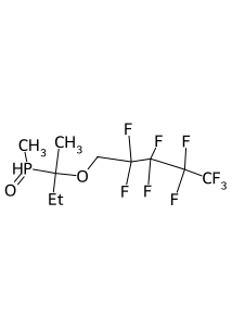 CCC(C)(OCC(F)(F)C(F)(F)C(F)(F)C(F)(F)F)[PH](C)=O